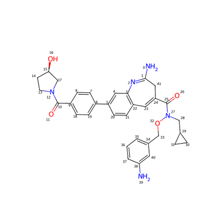 NC1=Nc2cc(-c3ccc(C(=O)N4CC[C@@H](O)C4)cc3)ccc2C=C(C(=O)N(CC2CC2)OCc2cccc(N)c2)C1